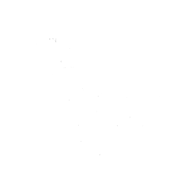 O=C(Oc1ccccc1-c1ccccc1)OC1CN2CCC1CC2